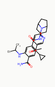 CCC(Nc1cc(C(=O)NC2CC3CCC(C2)N3c2ccc(C(=O)C3CC3)cn2)c(C)cc1C(N)=O)C(F)(F)F